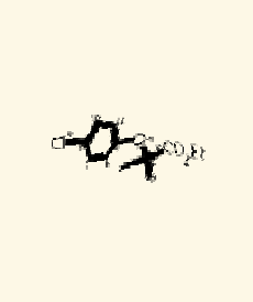 [CH2]COC(=O)C(C)(C)Oc1ccc(Cl)cc1